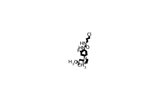 CN(C)Cc1nccn1-c1ccc(NC(=O)NCCCCl)c(F)c1